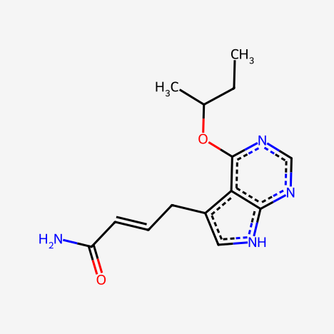 CCC(C)Oc1ncnc2[nH]cc(CC=CC(N)=O)c12